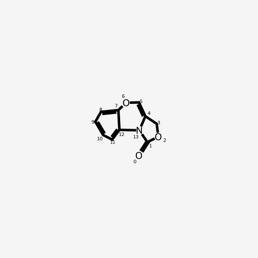 O=C1OCC2=COc3ccccc3N12